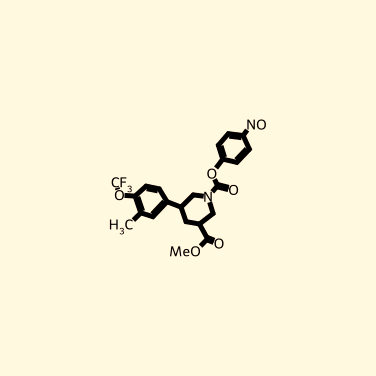 COC(=O)C1CC(c2ccc(OC(F)(F)F)c(C)c2)CN(C(=O)Oc2ccc(N=O)cc2)C1